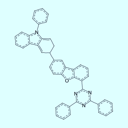 C1=c2c(n(-c3ccccc3)c3ccccc23)=CCC1c1ccc2oc3c(-c4nc(-c5ccccc5)nc(-c5ccccc5)n4)cccc3c2c1